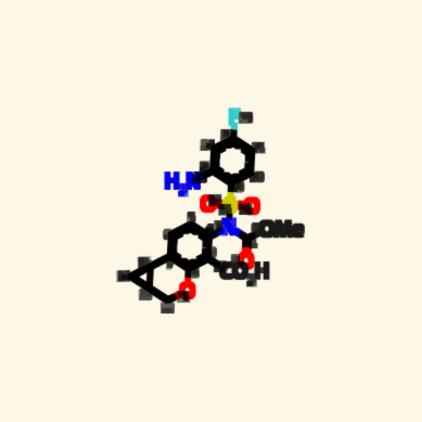 COC(=O)N(c1ccc2c(c1C(=O)O)OCC1CC21)S(=O)(=O)c1ccc(F)cc1N